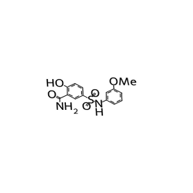 COc1cccc(NS(=O)(=O)c2ccc(O)c(C(N)=O)c2)c1